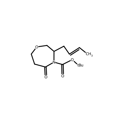 CC=CCC1COCCC(=O)N1C(=O)OC(C)(C)C